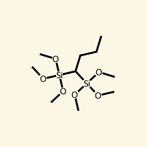 CCCC([Si](OC)(OC)OC)[Si](OC)(OC)OC